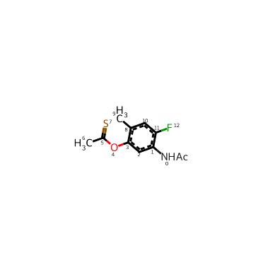 CC(=O)Nc1cc(OC(C)=S)c(C)cc1F